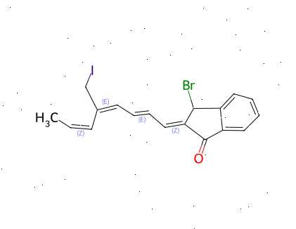 C\C=C/C(=C\C=C\C=C1\C(=O)c2ccccc2C1Br)CI